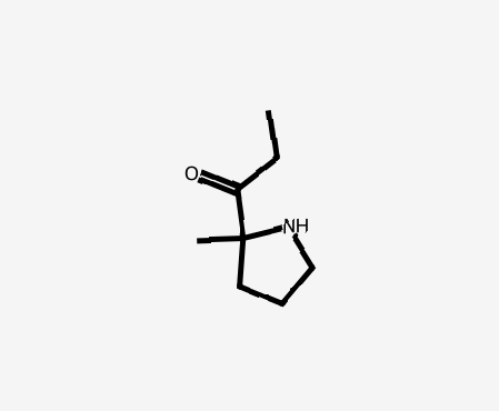 CCC(=O)C1(C)CCCN1